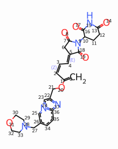 C=C(/C=C\C=C1/CC(=O)N(C2CCC(=O)NC2=O)C1=O)OCc1cn2cc(CN3CCOCC3)ccc2n1